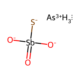 [AsH3+3].[O]=[Sb]([O-])([O-])[S-]